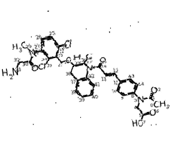 CC(=O)N(CC(=O)O)c1ccc(C=CC(=O)N2C(C)=C(OCc3c(Cl)ccc(N(C)C(=O)CN)c3Cl)Cc3ccccc32)cc1